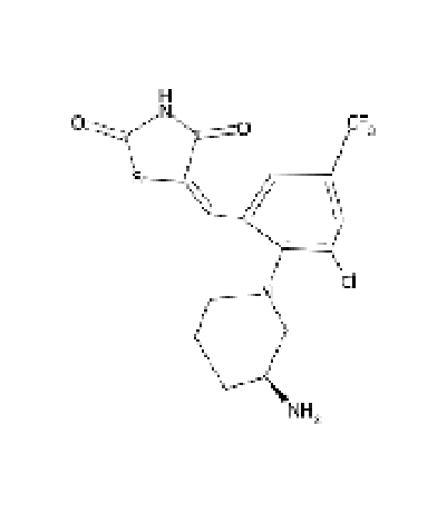 N[C@H]1CCCN(c2c(Cl)cc(C(F)(F)F)cc2/C=C2/SC(=O)NC2=O)C1